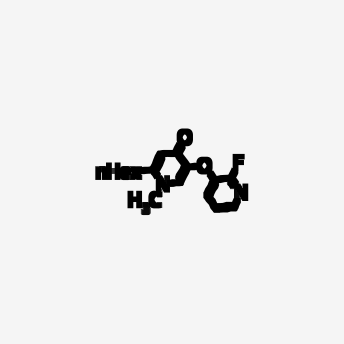 CCCCCCc1cc(=O)c(Oc2cccnc2F)cn1C